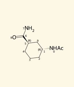 CC(=O)N[C@@H]1CCC[C@@H](C(N)=O)C1